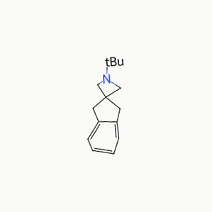 CC(C)(C)N1CC2(Cc3ccccc3C2)C1